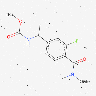 CON(C)C(=O)c1ccc(C(C)NC(=O)OC(C)(C)C)cc1F